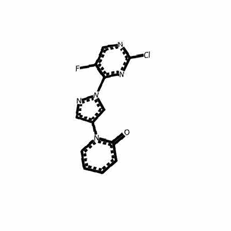 O=c1ccccn1-c1cnn(-c2nc(Cl)ncc2F)c1